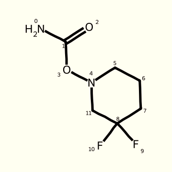 NC(=O)ON1CCCC(F)(F)C1